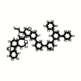 CCCC1=C(C2=C(C)c3ccc4oc5ccccc5c4c3CCO2)c2cc(-c3cccc(-c4cncc(-c5cc(-c6ccccc6)cc(-c6ccccc6)c5)c4)c3)ccc2OC1